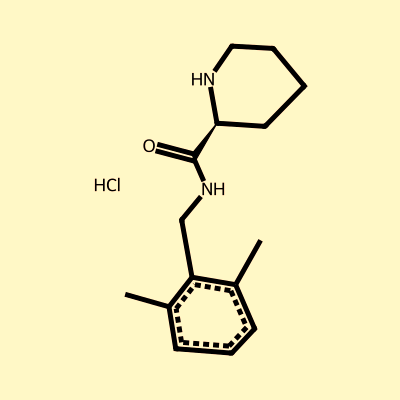 Cc1cccc(C)c1CNC(=O)[C@@H]1CCCCN1.Cl